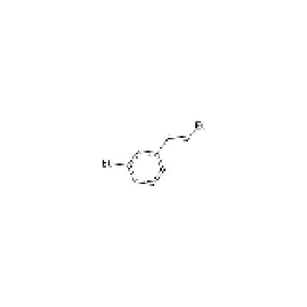 [CH2]CC=Cc1cccc(CC)c1